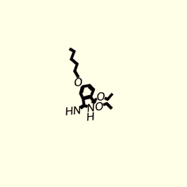 CCCCCCOc1ccc2c(c1)C(=N)NC2(OCC)OCC